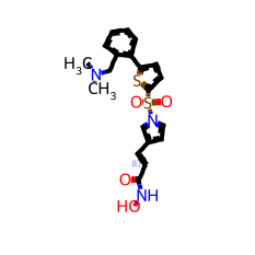 CN(C)Cc1ccccc1-c1ccc(S(=O)(=O)n2ccc(/C=C/C(=O)NO)c2)s1